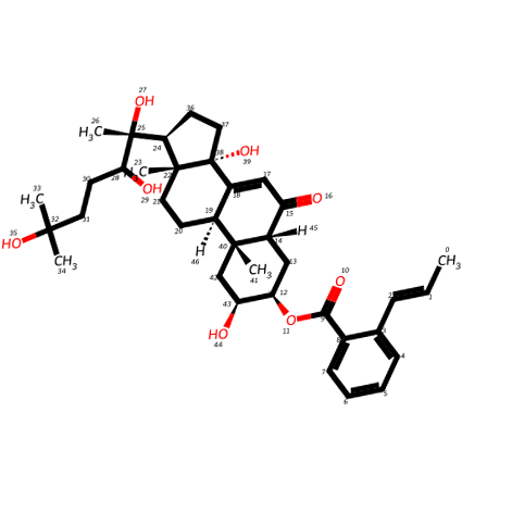 CC=Cc1ccccc1C(=O)O[C@@H]1C[C@H]2C(=O)C=C3[C@H](CC[C@]4(C)[C@@H]([C@@](C)(O)C(O)CCC(C)(C)O)CC[C@@]34O)[C@@]2(C)C[C@@H]1O